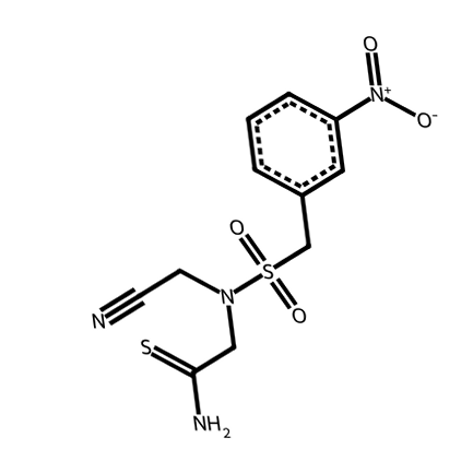 N#CCN(CC(N)=S)S(=O)(=O)Cc1cccc([N+](=O)[O-])c1